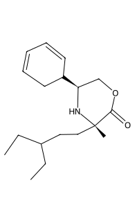 CCC(CC)CC[C@]1(C)N[C@@H](C2C=CC=CC2)COC1=O